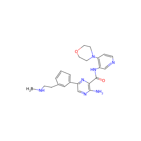 BNCCc1cccc(-c2cnc(N)c(C(=O)Nc3cnccc3N3CCOCC3)n2)c1